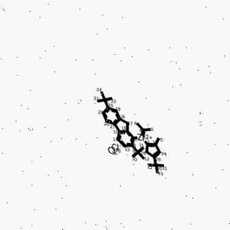 CC1=[C]([Zr+2](=[C](C)C)[c]2c(C(C)(C)C)ccc3c2Cc2cc(C(C)(C)C)ccc2-3)CC(C(C)(C)C)=C1.[Cl-].[Cl-]